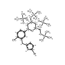 C[Si](C)(C)OC[C@H]1O[C@@H](c2ccc(Cl)c(Cc3ccc(Br)s3)c2)[C@H](O[Si](C)(C)C)[C@@H](O[Si](C)(C)C)[C@@H]1O[Si](C)(C)C